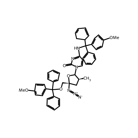 COc1ccc(C(OC[C@]2(N=[N+]=[N-])C[C@H](C)C(n3ccc(NC(c4ccccc4)(c4ccc(OC)cc4)C4C=CC=CC4)nc3=O)O2)(c2ccccc2)c2ccccc2)cc1